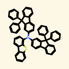 c1ccc(C2(c3ccccc3)c3ccccc3-c3ccc(N(c4ccc5c(c4)C(c4ccccc4)(c4ccccc4)c4ccccc4-5)c4cccc5c4sc4ccccc45)cc32)cc1